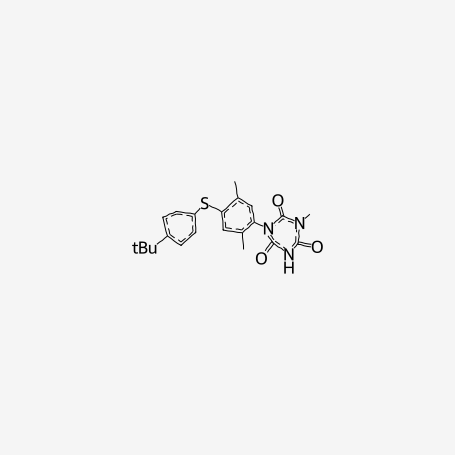 Cc1cc(-n2c(=O)[nH]c(=O)n(C)c2=O)c(C)cc1Sc1ccc(C(C)(C)C)cc1